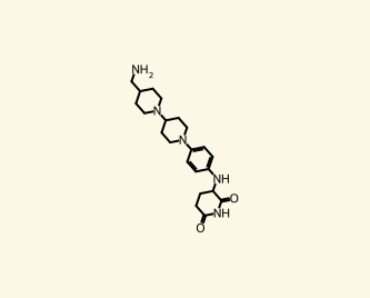 NCC1CCN(C2CCN(c3ccc(NC4CCC(=O)NC4=O)cc3)CC2)CC1